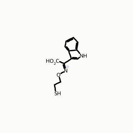 O=C(O)/C(=N\OCCS)c1c[nH]c2ccccc12